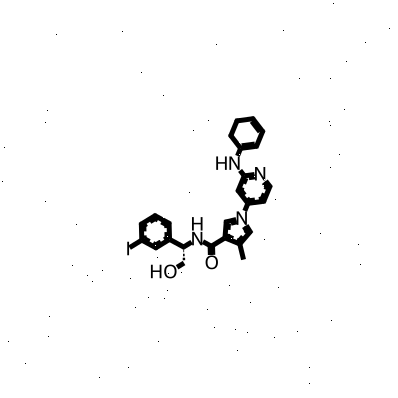 Cc1cn(-c2ccnc(NC3=CC=CCC3)c2)cc1C(=O)N[C@H](CO)c1cccc(I)c1